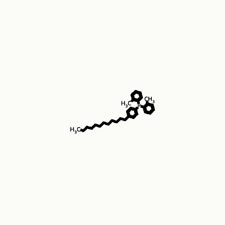 CCCCCCCCCCCCc1ccc(P(c2ccccc2C)c2ccccc2C)cc1